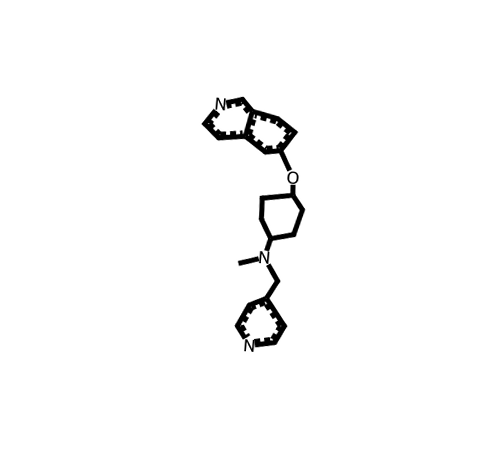 CN(Cc1ccncc1)C1CCC(Oc2ccc3cnccc3c2)CC1